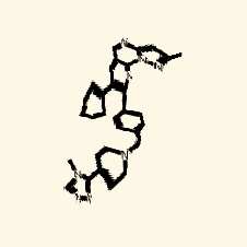 Cc1cc2ncc3cc(-c4ccccc4)c(-c4ccc(CN5CCC(c6nncn6C)CC5)cc4)nc3n2n1